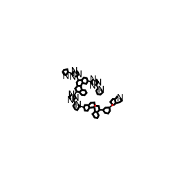 c1ccc(-c2ncnc(-c3ccc4c(-c5ncnc(-c6ccccn6)n5)cc5cc(-c6ncnc(-c7cccc(-c8ccc9c(ccc%10cc(-c%11cccc(-c%12ccc%13cnccc%13c%12)c%11)c%11ccccc%11c%109)c8)n7)n6)c6ccccc6c5c4c3)n2)nc1